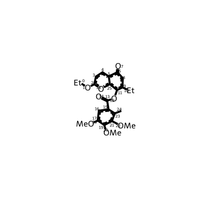 CCOc1ccc2c(=O)cc(CC)c(OC(=O)c3cc(OC)c(OC)c(OC)c3C)c-2o1